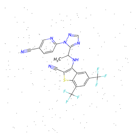 CC(Nc1c(C#N)sc2c(C(F)(F)F)cc(C(F)(F)F)cc12)c1ncnn1-c1ccc(C#N)cn1